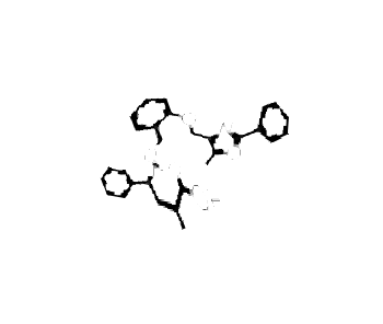 Cc1oc(-c2ccccc2)nc1COc1ccccc1CON=C(CC(C)C(=O)O)c1ccccc1